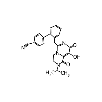 CC(C)N1CCn2c(Cc3ccccc3-c3ccc(C#N)cc3)nc(=O)c(O)c2C1=O